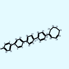 Fc1ccc(-c2ccc(-c3ccc(-c4ccc(/C5=C/C=C\CCCC5)cc4)cc3)cc2)cc1